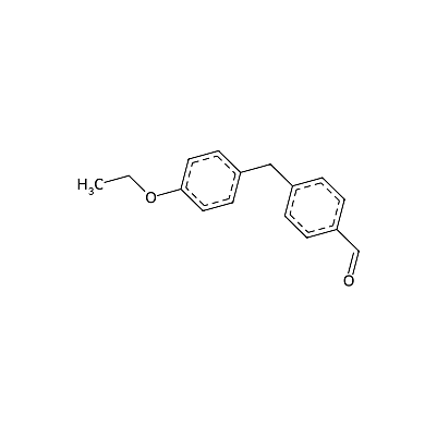 CCOc1ccc(Cc2ccc(C=O)cc2)cc1